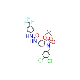 CC1(C)COC2(OC1)C(=O)N(Cc1ccc(Cl)c(Cl)c1)c1ccc(NC(=O)Nc3ccc(C(F)(F)F)cc3)cc12